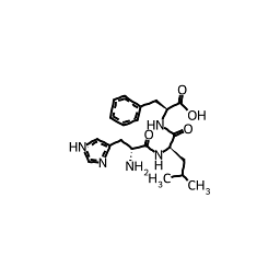 CC(C)C[C@@H](NC(=O)[C@H](N)Cc1c[nH]cn1)C(=O)N[C@@H](Cc1ccccc1)C(=O)O